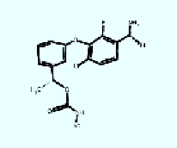 CCNC(=O)O[C@H](C)c1cccc(Oc2c(Cl)ccc([C@@H](N)CC)c2F)c1